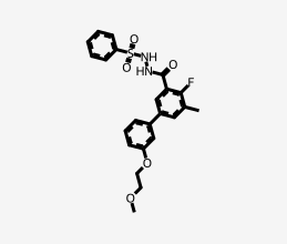 COCCOc1cccc(-c2cc(C)c(F)c(C(=O)NNS(=O)(=O)c3ccccc3)c2)c1